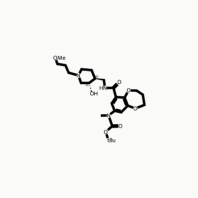 COCCCN1CC[C@@H](CNC(=O)c2cc(N(C)C(=O)OC(C)(C)C)cc3c2OCCCO3)[C@H](O)C1